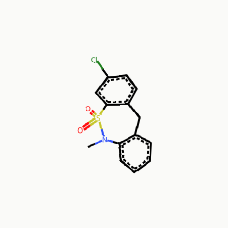 CN1c2ccccc2Cc2ccc(Cl)cc2S1(=O)=O